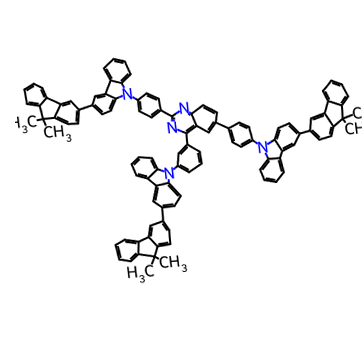 CC1(C)c2ccccc2-c2cc(-c3ccc4c(c3)c3ccccc3n4-c3ccc(-c4ccc5nc(-c6ccc(-n7c8ccccc8c8cc(-c9ccc%10c(c9)-c9ccccc9C%10(C)C)ccc87)cc6)nc(-c6cccc(-n7c8ccccc8c8cc(-c9ccc%10c(c9)-c9ccccc9C%10(C)C)ccc87)c6)c5c4)cc3)ccc21